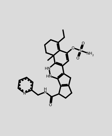 CCC1=C2C(OS(N)(=O)=O)=CC3=C(NNC4=C3CC3=C4C(C(=O)NCc4ccccn4)CC3)C2(C)CCC1